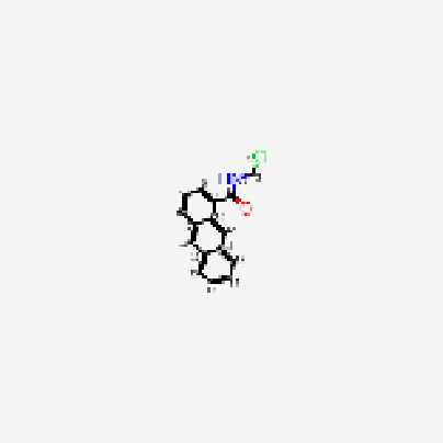 O=C(NCCl)c1cccc2cc3ccccc3cc12